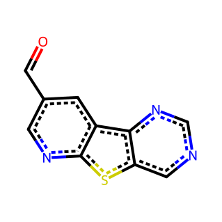 O=Cc1cnc2sc3cncnc3c2c1